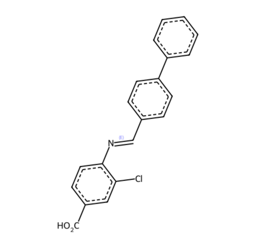 O=C(O)c1ccc(/N=C/c2ccc(-c3ccccc3)cc2)c(Cl)c1